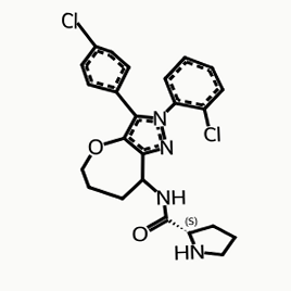 O=C(NC1CCCOc2c1nn(-c1ccccc1Cl)c2-c1ccc(Cl)cc1)[C@@H]1CCCN1